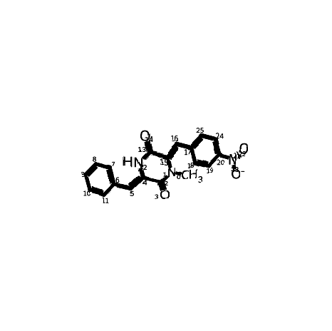 Cn1c(=O)/c(=C/c2ccccc2)[nH]c(=O)/c1=C/c1ccc([N+](=O)[O-])cc1